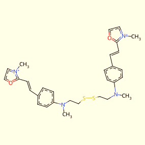 CN(CCSSCCN(C)c1ccc(/C=C/c2occ[n+]2C)cc1)c1ccc(/C=C/c2occ[n+]2C)cc1